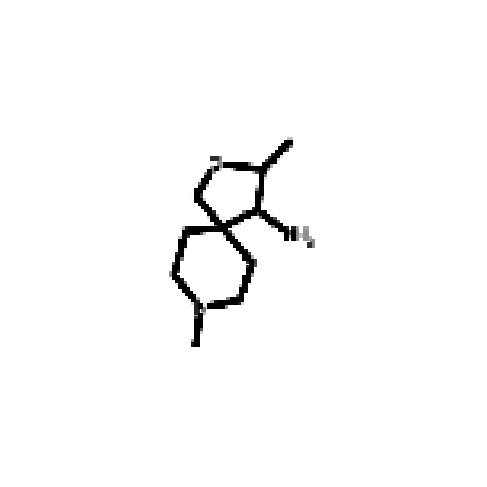 CC1OCC2(CCN(C)CC2)C1N